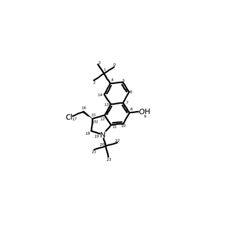 CC(C)(C)c1ccc2c(O)cc3c(c2c1)[C@H](CCl)CN3C(C)(C)C